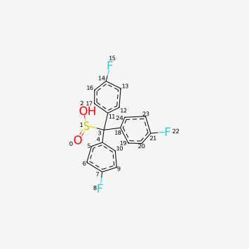 O=S(O)C(c1ccc(F)cc1)(c1ccc(F)cc1)c1ccc(F)cc1